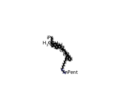 CCCCC/C=C\C/C=C\CCCCCCCCOCC(CN1CCCCC1)OC(=O)COCC(=O)O[C@H]1CC[C@@]2(C)C(=CCC3C2CC[C@@]2(C)C3CC[C@@H]2[C@H](C)CCCC(C)C)C1